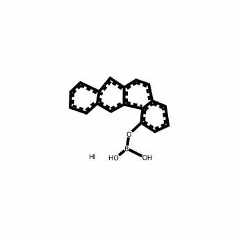 I.OB(O)Oc1cccc2ccc3cc4ccccc4cc3c12